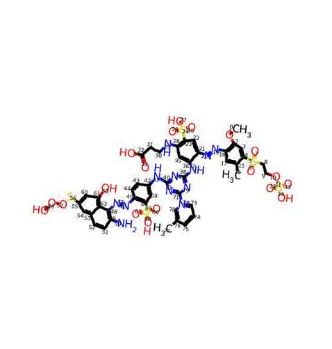 COc1cc(S(=O)(=O)CCOS(=O)(=O)O)c(C)cc1N=Nc1cc(S(=O)(=O)O)c(NCCC(=O)O)cc1Nc1nc(Nc2ccc(N=Nc3c(N)ccc4cc(SOOO)cc(O)c34)c(S(=O)(=O)O)c2)nc(-[n+]2cccc(C)c2)n1